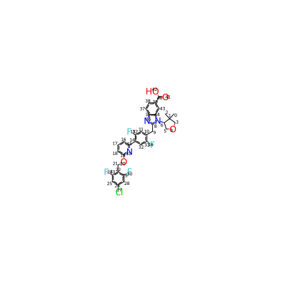 CC1(C)COC[C@H]1n1c(Cc2cc(F)c(-c3cccc(OCc4c(F)cc(Cl)cc4F)n3)cc2F)nc2ccc(C(=O)O)cc21